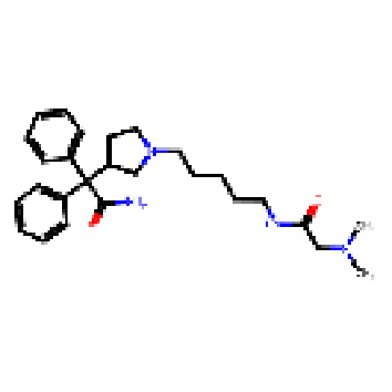 CN(C)CC(=O)NCCCCCN1CCC(C(C(N)=O)(c2ccccc2)c2ccccc2)C1